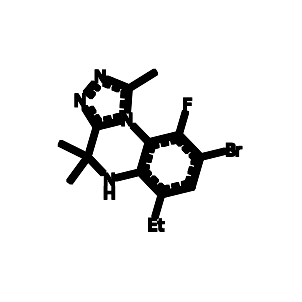 CCc1cc(Br)c(F)c2c1NC(C)(C)c1nnc(C)n1-2